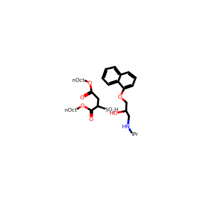 CC(C)NCC(O)COc1cccc2ccccc12.CCCCCCCCOC(=O)CC(C(=O)OCCCCCCCC)S(=O)(=O)O